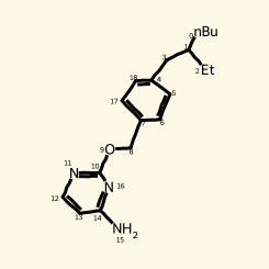 CCCCC(CC)Cc1ccc(COc2nccc(N)n2)cc1